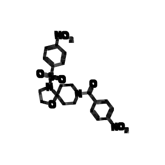 O=C(c1ccc([N+](=O)[O-])cc1)N1CCC2(CC1)OCCN2S(=O)(=O)c1ccc([N+](=O)[O-])cc1